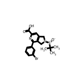 CC(C)(C)[S+]([O-])N1Cc2cc(C(=O)O)nc(-c3cccc(Br)c3)c2C1